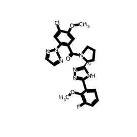 COc1cc(C(=O)N2CCC[C@H]2c2nnc(-c3cccc(F)c3OC)[nH]2)c(-n2nccn2)cc1Cl